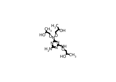 CC(O)CONc1nc(N)nc(N(OCC(C)O)OCC(C)O)n1